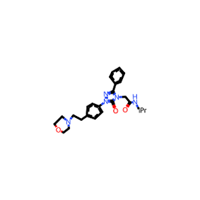 CC(C)NC(=O)Cn1c(-c2ccccc2)nn(-c2ccc(CCN3CCOCC3)cc2)c1=O